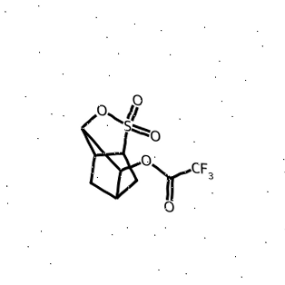 O=C(OC1C2CC3C1OS(=O)(=O)C3C2)C(F)(F)F